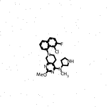 COc1nc2c(c(N(C)C3CCNC3)n1)CCN(c1cccc3ccc(F)c(Cl)c13)C2